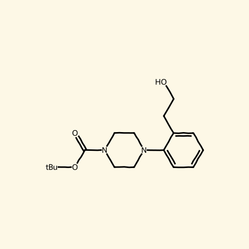 CC(C)(C)OC(=O)N1CCN(c2ccccc2CCO)CC1